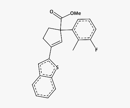 COC(=O)C1(c2cccc(F)c2C)C=C(c2cc3ccccc3s2)CC1